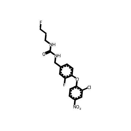 O=C(NCCCF)NCc1ccc(Oc2ccc([N+](=O)[O-])cc2Cl)c(F)c1